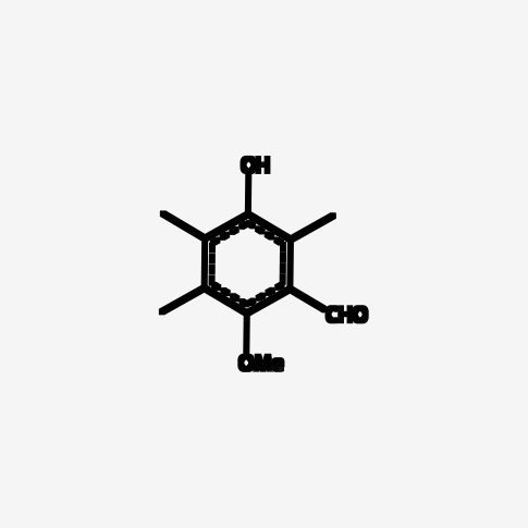 COc1c(C)c(C)c(O)c(C)c1C=O